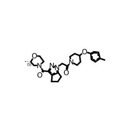 Cc1ccc(OC2CCN(C(=O)Cn3nc(C(=O)N4CCO[C@@H](C)C4)c4c3CCC4)CC2)cc1